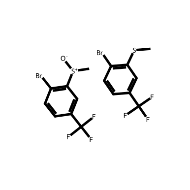 CSc1cc(C(F)(F)F)ccc1Br.C[S+]([O-])c1cc(C(F)(F)F)ccc1Br